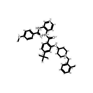 COc1ccc(C(=O)Nc2cnccc2NC(=O)c2ccc(C(C)(C)C)cc2OC2CCN(Cc3ccccc3C)CC2)cc1